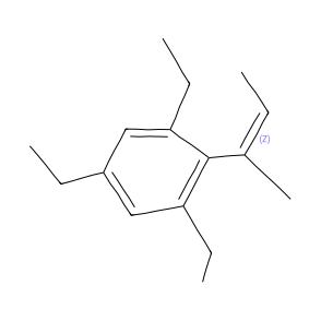 C/C=C(/C)c1c(CC)cc(CC)cc1CC